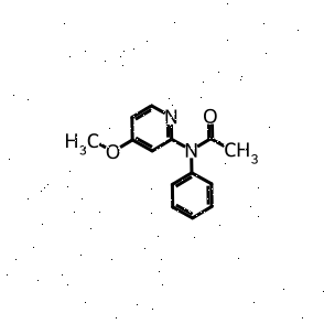 COc1ccnc(N(C(C)=O)c2ccccc2)c1